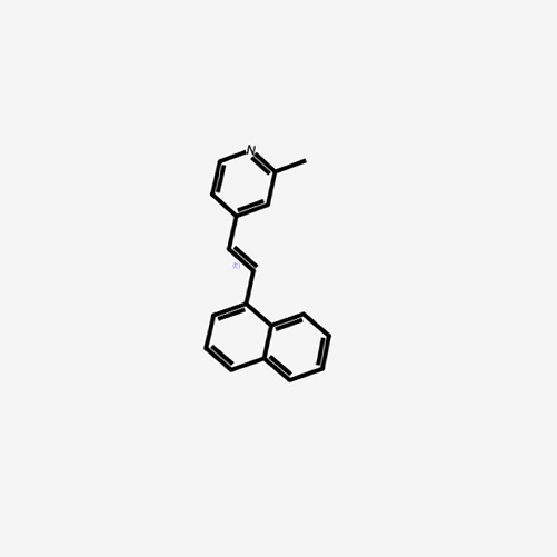 Cc1cc(/C=C/c2cccc3ccccc23)ccn1